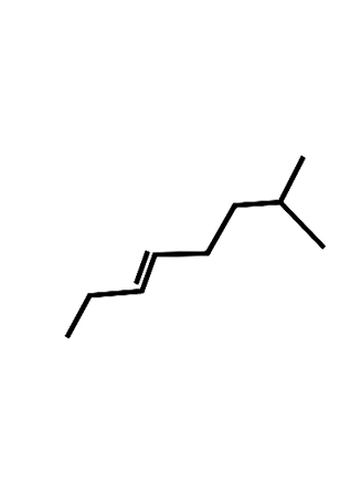 CCC=CCCC(C)C